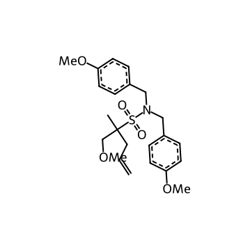 C=CCC(C)(COC)S(=O)(=O)N(Cc1ccc(OC)cc1)Cc1ccc(OC)cc1